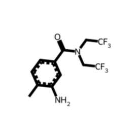 Cc1ccc(C(=O)N(CC(F)(F)F)CC(F)(F)F)cc1N